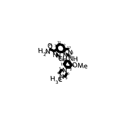 COc1cc(N2CCN(C)CC2)ccc1Nc1ncc2c(n1)-c1c(c(C(N)=O)nn1C)CCC2